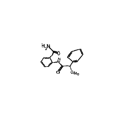 COC(C(=O)Nc1ccccc1C(N)=O)c1ccccc1